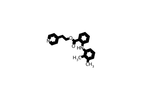 Cc1cccc(Nc2ccccc2C(=O)OCCc2ccncc2)c1C